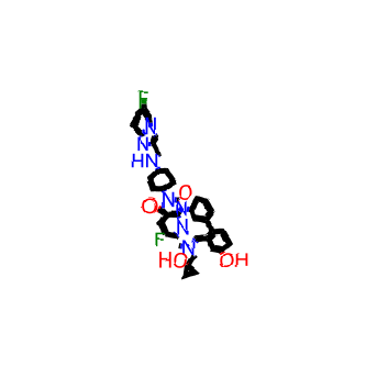 CN(Cc1cc(O)ccc1-c1cccc(-n2c(=O)n(C3CCC(NCc4cn5cc(F)ccc5n4)CC3)c(=O)c3cc(F)cnc32)c1)CC1(O)CC1